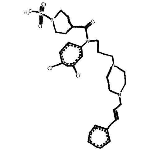 CS(=O)(=O)N1CCC(C(=O)N(CCCN2CCN(CC=Cc3ccccc3)CC2)c2ccc(Cl)c(Cl)c2)CC1